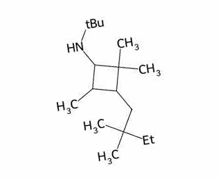 CCC(C)(C)CC1C(C)C(NC(C)(C)C)C1(C)C